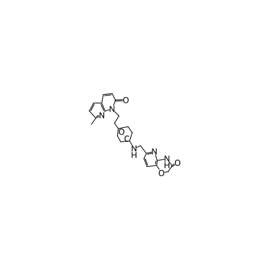 Cc1ccc2ccc(=O)n(CCC34CCC(NCc5ccc6c(n5)NC(=O)CO6)(CC3)CO4)c2n1